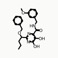 CCCC(OCc1ccccc1)c1nc(O)c(O)c(C(=O)NCc2cccc(OC)c2)n1